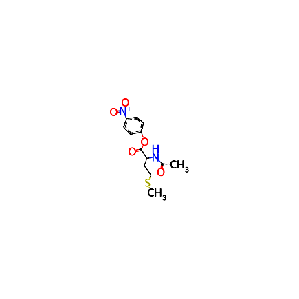 CSCCC(NC(C)=O)C(=O)Oc1ccc([N+](=O)[O-])cc1